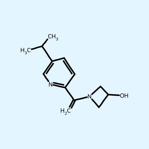 C=C(c1ccc(C(C)C)cn1)N1CC(O)C1